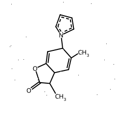 CC1=CC2C(=CC1n1cccc1)OC(=O)C2C